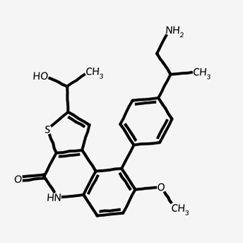 COc1ccc2[nH]c(=O)c3sc(C(C)O)cc3c2c1-c1ccc(C(C)CN)cc1